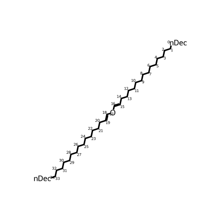 CCCCCCCCCCCCCCCCCCCCCCCCC=COC=CCCCCCCCCCCCCCCCCCCCCCCCC